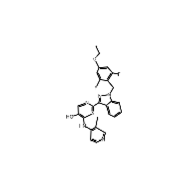 CCOc1cc(F)c(Cn2nc(-c3ncc(O)c(Nc4ccncc4C)n3)c3ccccc32)c(F)c1